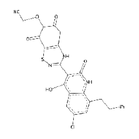 CC(C)CCc1cc(Cl)cc2c(O)c(C3=NSC4=C(CC(=O)C(OCC#N)C4=O)N3)c(=O)[nH]c12